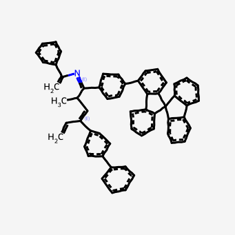 C=C/C(=C\C(C)/C(=N\C(=C)c1ccccc1)c1ccc(-c2cccc3c2-c2ccccc2C32c3ccccc3-c3ccccc32)cc1)c1ccc(-c2ccccc2)cc1